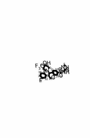 O=S(=O)(Nc1ncns1)c1ccc2c(c1)OCCC2N1CC[C@@](O)(C(F)(F)F)C[C@H]1c1ccc(F)cc1